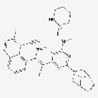 C#Cc1c(F)ccc2cccc(-c3ncc4c(N(C)C[C@@H]5CCCCN5)nc(N5CC6CCC(C5)N6C)nc4c3F)c12